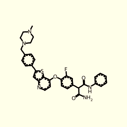 CN1CCN(Cc2ccc(-c3cc4nccc(Oc5ccc(C(C(N)=O)C(=O)Nc6ccccc6)cc5F)c4s3)cc2)CC1